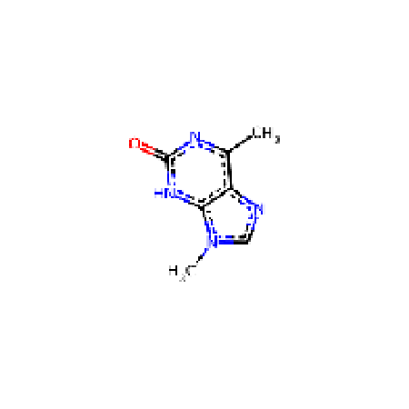 Cc1nc(=O)[nH]c2c1ncn2C